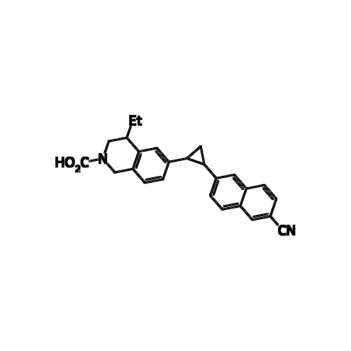 CCC1CN(C(=O)O)Cc2ccc(C3CC3c3ccc4cc(C#N)ccc4c3)cc21